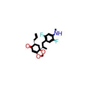 C=CC[C@@H]1C[C@@]2(C(C)Cc3cc(F)c(NC)cc3F)OCOC2=CC1=O